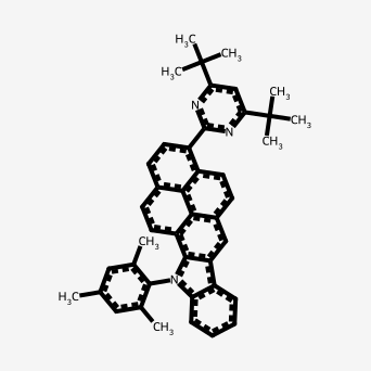 Cc1cc(C)c(-n2c3ccccc3c3cc4ccc5c(-c6nc(C(C)(C)C)cc(C(C)(C)C)n6)ccc6ccc(c4c65)c32)c(C)c1